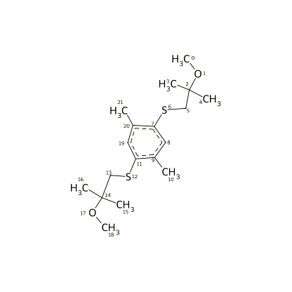 COC(C)(C)CSc1cc(C)c(SCC(C)(C)OC)cc1C